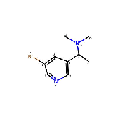 CC(c1cncc(Br)c1)N(C)C